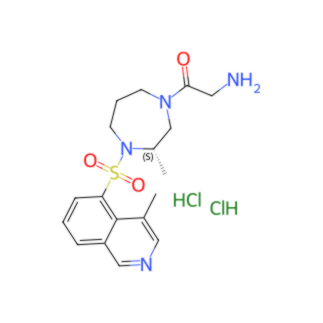 Cc1cncc2cccc(S(=O)(=O)N3CCCN(C(=O)CN)C[C@@H]3C)c12.Cl.Cl